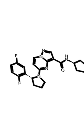 N[C@H]1CC[C@H](NC(=O)c2cnn3ccc(N4CCC[C@@H]4c4cc(F)ccc4F)nc23)C1